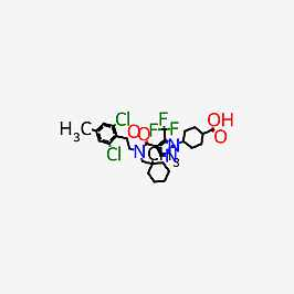 Cc1cc(Cl)c(C(=O)CN(CC2(C)CCCCC2)C(=O)c2cnn(C3CCC(C(=O)O)CC3)c2C(F)(F)F)c(Cl)c1